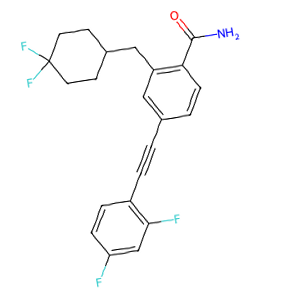 NC(=O)c1ccc(C#Cc2ccc(F)cc2F)cc1CC1CCC(F)(F)CC1